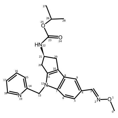 CO/N=C/c1ccc2c(c1)c1c(n2Cc2ccccn2)C[C@@H](NC(=O)OC(C)C)C1